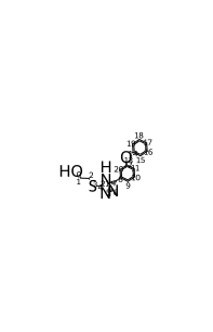 OCCSc1nnc(-c2cccc(Oc3ccccc3)c2)[nH]1